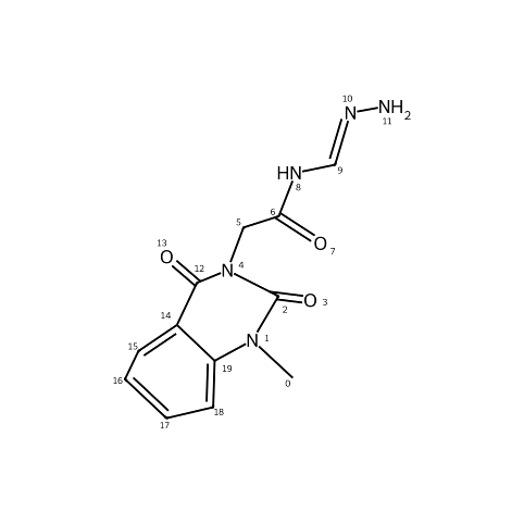 Cn1c(=O)n(CC(=O)NC=NN)c(=O)c2ccccc21